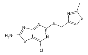 Cc1nc(CSc2nc(Cl)c3sc(N)nc3n2)cs1